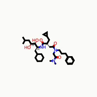 CC(C)C[C@H](O)[C@H](O)[C@H](CC1CCCCC1)NC(=O)[C@@H](CC(=O)N(CCCc1ccccc1)CC(=O)N(C)C)CC1CC1